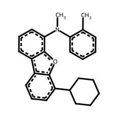 Cc1ccccc1N(C)c1cccc2c1oc1c(C3CCCCC3)cccc12